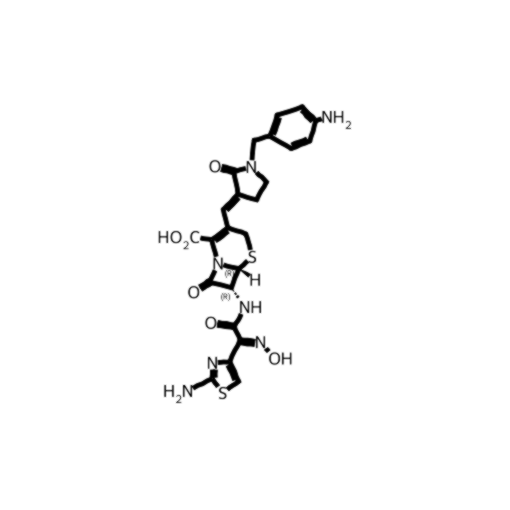 Nc1ccc(CN2CCC(=CC3=C(C(=O)O)N4C(=O)[C@@H](NC(=O)C(=NO)c5csc(N)n5)[C@H]4SC3)C2=O)cc1